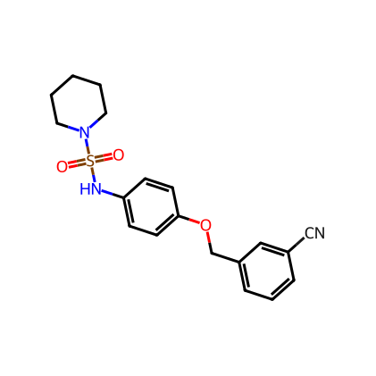 N#Cc1cccc(COc2ccc(NS(=O)(=O)N3CCCCC3)cc2)c1